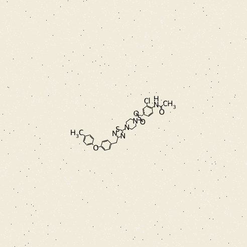 CC(=O)Nc1ccc(S(=O)(=O)N2CCN(c3nc(Cc4ccc(Oc5ccc(C)cc5)cc4)ns3)CC2)cc1Cl